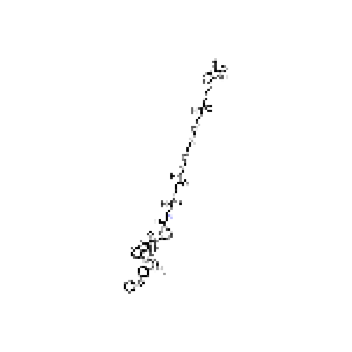 Cc1cc(Oc2ccccc2)ccc1N1C(=O)Nc2c(C(=O)NC3CCCN(C(=O)/C=C/CNC(=O)CCCC(=O)NCCCOCCOCCOCCCNC(=O)CCCC[C@H]4SCC5NC(=O)NC54)C3)sc3nccc1c23